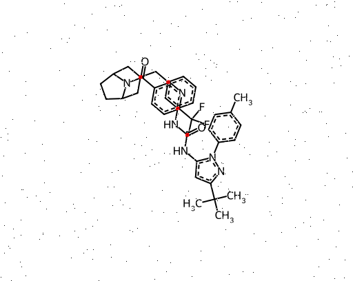 Cc1ccc(-n2nc(C(C)(C)C)cc2NC(=O)Nc2cccc(CC3CC4CCC(C3)N4C(=O)c3ccc(C(F)(F)F)nc3)c2)cc1